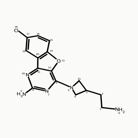 NCCC1CN(c2nc(N)nc3c2oc2ccc(Cl)cc23)C1